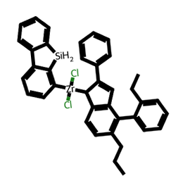 CCCc1ccc2c(c1-c1ccccc1CC)C=C(c1ccccc1)[CH]2[Zr]([Cl])([Cl])[c]1cccc2c1[SiH2]c1ccccc1-2